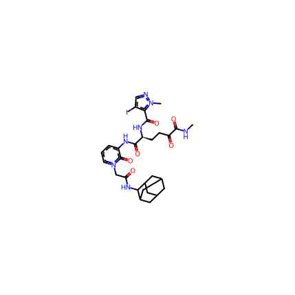 CNC(=O)C(=O)CC[C@H](NC(=O)c1c(I)cnn1C)C(=O)Nc1cccn(CC(=O)NC2C3CC4CC(C3)CC2C4)c1=O